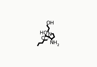 CCCCC[C@@]1(C(=O)O)C(N)CCN1CCCO